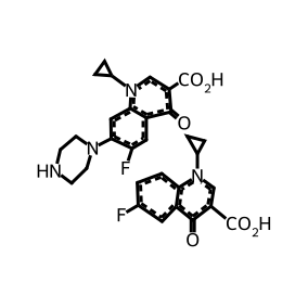 O=C(O)c1cn(C2CC2)c2cc(N3CCNCC3)c(F)cc2c1=O.O=C(O)c1cn(C2CC2)c2ccc(F)cc2c1=O